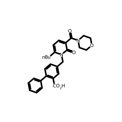 CCCCc1ccc(C(=O)N2CCOCC2)c(=O)n1Cc1ccc(-c2ccccc2)c(C(=O)O)c1